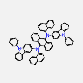 c1ccc(-n2c3ccccc3c3cc(N(c4cccc5ccccc45)c4c5ccccc5c(N(c5ccc6c(c5)c5ccccc5n6-c5ccccc5)c5cccc6ccccc56)c5ccccc45)ccc32)cc1